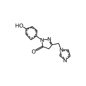 O=C1CC(Cn2ccnc2)=NN1c1ccc(O)cc1